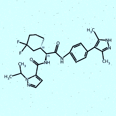 Cc1n[nH]c(C)c1-c1ccc(NC(=O)[C@@H](NC(=O)c2ccnn2C(C)C)[C@H]2CCCC(F)(F)C2)cc1